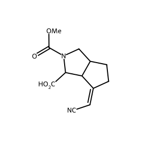 COC(=O)N1CC2CCC(=CC#N)C2C1C(=O)O